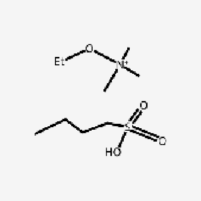 CCCCS(=O)(=O)O.CCO[N+](C)(C)C